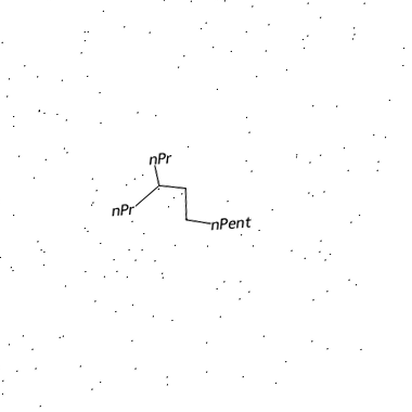 CCCCCCC[C](CCC)CCC